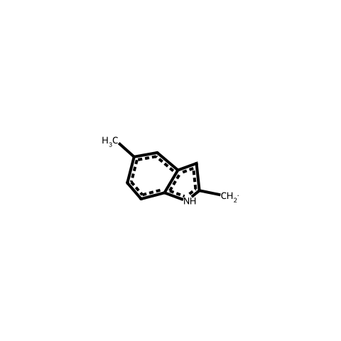 [CH2]c1cc2cc(C)ccc2[nH]1